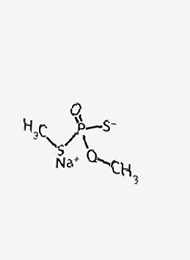 COP(=O)([S-])SC.[Na+]